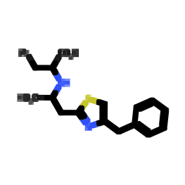 CC(C)CC(NC(Cc1nc(Cc2ccccc2)cs1)C(=O)O)C(=O)O